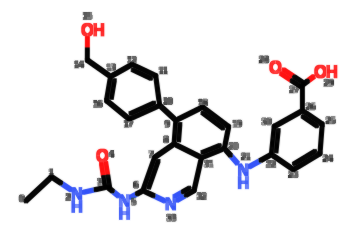 CCNC(=O)Nc1cc2c(-c3ccc(CO)cc3)ccc(Nc3cccc(C(=O)O)c3)c2cn1